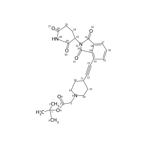 CC(C)(C)OC(=O)CN1CCC(C#Cc2cccc3c2C(=O)N(C2CCC(=O)NC2=O)C3=O)CC1